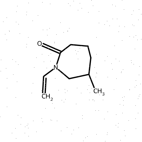 C=CN1CC(C)CCCC1=O